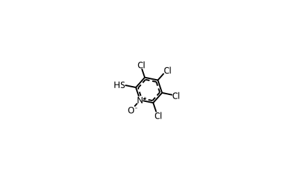 [O-][n+]1c(S)c(Cl)c(Cl)c(Cl)c1Cl